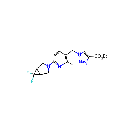 CCOC(=O)c1cn(Cc2ccc(N3CC4C(C3)C4(F)F)nc2C)nn1